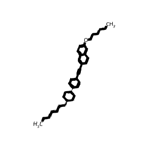 CCCCCCC[C@H]1CC[C@H](c2ccc(C#Cc3ccc4cc(OCCCCCC)ccc4c3)cc2)CC1